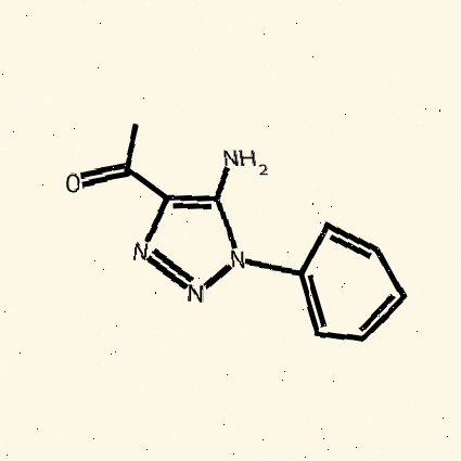 CC(=O)c1nnn(-c2ccccc2)c1N